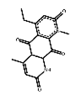 CCc1cc(=O)n(C)c2c1C(=O)C1C(C)=CC(=O)NC1C2=O